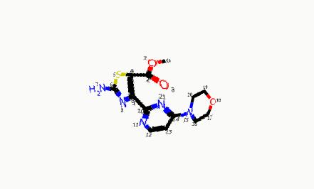 COC(=O)c1sc(N)nc1-c1nccc(N2CCOCC2)n1